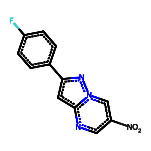 O=[N+]([O-])c1cnc2cc(-c3ccc(F)cc3)nn2c1